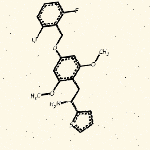 COc1cc(OCc2c(F)cccc2Cl)cc(OC)c1C[C@H](N)c1cccs1